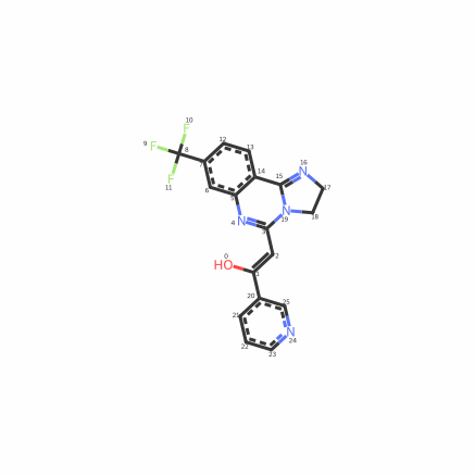 O/C(=C\C1=Nc2cc(C(F)(F)F)ccc2C2=NCCN12)c1cccnc1